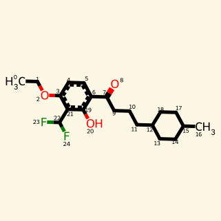 CCOc1ccc(C(=O)CCCC2CCC(C)CC2)c(O)c1C(F)F